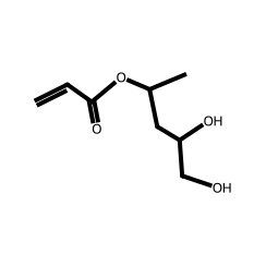 C=CC(=O)OC(C)CC(O)CO